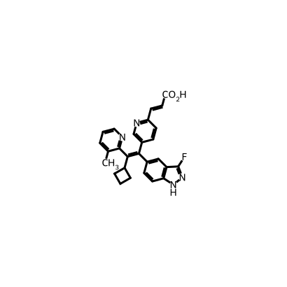 Cc1cccnc1/C(=C(\c1ccc(/C=C/C(=O)O)nc1)c1ccc2[nH]nc(F)c2c1)C1CCC1